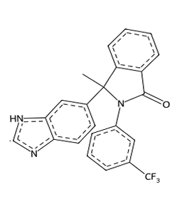 CC1(c2ccc3n[c][nH]c3c2)c2ccccc2C(=O)N1c1cccc(C(F)(F)F)c1